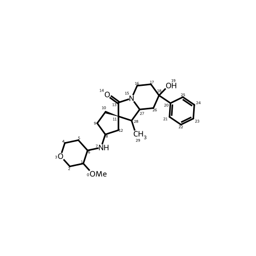 COC1COCCC1NC1CC[C@@]2(C1)C(=O)N1CCC(O)(c3ccccc3)CC1C2C